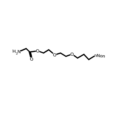 CCCCCCCCCCCCOCCOCCOC(=O)CN